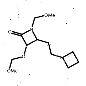 COCOC1C(=O)N(COC)C1CCC1CCC1